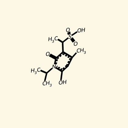 Cc1cc(O)n(C(C)C)c(=O)c1C(C)S(=O)(=O)O